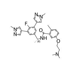 Cc1ccc(OCCN(C)C)cc1C(=O)N[C@H](C)c1cc(-c2cnn(C)c2)c(F)c(-c2cnn(C)c2)c1